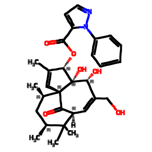 CC1=C[C@]23C(=O)[C@@H](C=C(CO)[C@@H](O)[C@]2(O)[C@H]1OC(=O)c1ccnn1-c1ccccc1)C(C)(C)[C@@H](C)C[C@H]3C